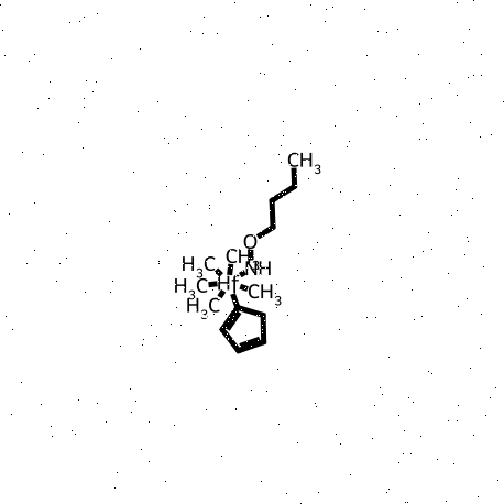 CCCCO[NH][Hf]([CH3])([CH3])([CH3])([CH3])([CH3])[C]1=CC=CC1